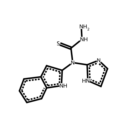 NNC(=S)N(c1cc2ccccc2[nH]1)c1ncc[nH]1